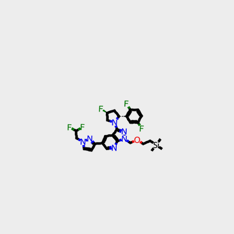 C[Si](C)(C)CCOCn1nc(N2C[C@@H](F)C[C@@H]2c2cc(F)ccc2F)c2cc(-c3ccn(CC(F)F)n3)cnc21